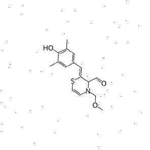 COCN1C=CSC(=Cc2cc(C)c(O)c(C)c2)C1C=O